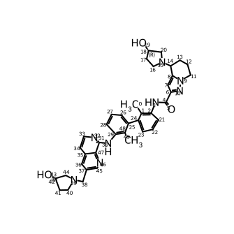 Cc1c(NC(=O)c2cc3n(n2)CCCC3N2CC[C@@H](O)C2)cccc1-c1cccc(Nc2nccc3cc(CN4CC[C@@H](O)C4)cnc23)c1C